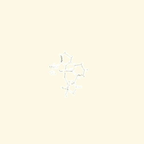 COc1ccccc1[Si]1(C)C[N+]2=C(OCC2(C)C)c2ccccc21.[Cl-]